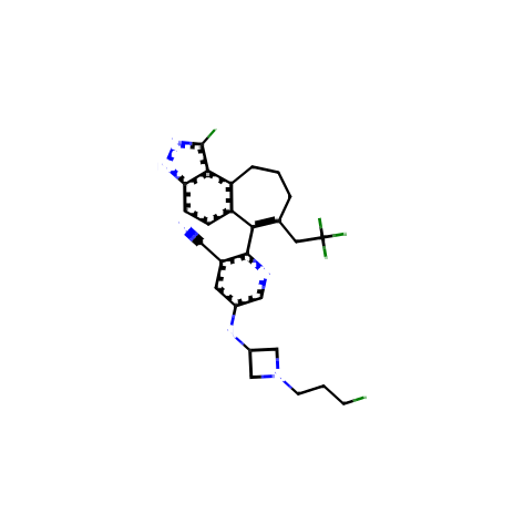 N#Cc1cc(NC2CN(CCCF)C2)cnc1C1=C(CC(F)(F)F)CCCc2c1ccc1[nH]nc(F)c21